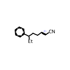 CCC(CC/C=C/C#N)c1ccccc1